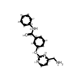 NCc1ccnc(Oc2cccc(C(=O)Nc3ccccc3)c2)n1